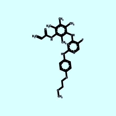 C=CC(=O)Nc1c(C)c(C)c(C)c(Nc2nc(Nc3ccc(OCCOC)cc3)ncc2F)c1C